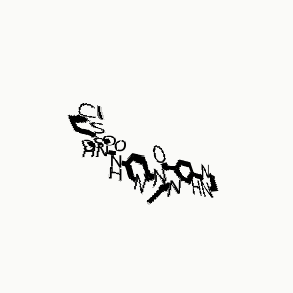 Cc1nc2cc(C3=NCCN3)ccc2c(=O)n1-c1ccc(NC(=O)NS(=O)(=O)c2ccc(Cl)s2)cn1